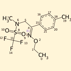 CCO/N=C(/CN(C)S(=O)(=O)C(F)(F)F)c1ccc(C)cc1